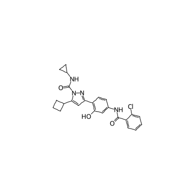 O=C(Nc1ccc(-c2cc(C3CCC3)n(C(=O)NC3CC3)n2)c(O)c1)c1ccccc1Cl